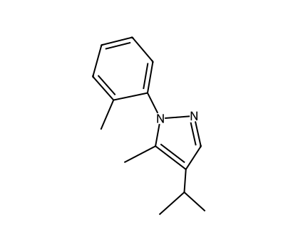 Cc1ccccc1-n1ncc(C(C)C)c1C